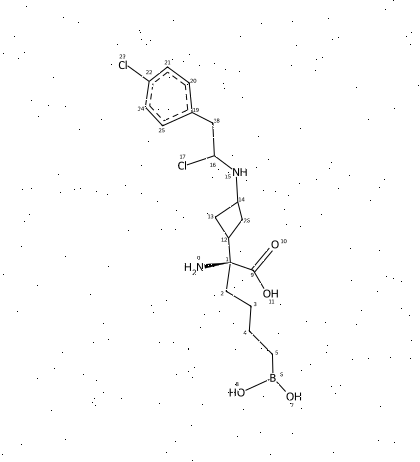 N[C@](CCCCB(O)O)(C(=O)O)C1CC(NC(Cl)Cc2ccc(Cl)cc2)C1